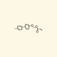 C=CC(=O)OCOc1ccc(-c2ccc(C)cc2)cc1